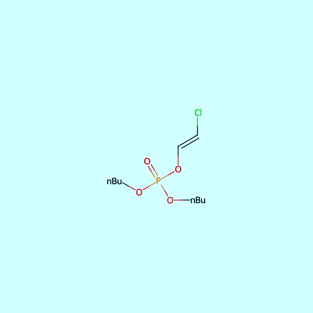 CCCCOP(=O)(OC=CCl)OCCCC